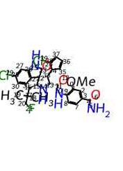 COc1cc(C(N)=O)ccc1NC(=O)[C@@H]1N[C@@H](CC(C)(C)CF)[C@@]2(C(=O)Nc3cc(Cl)ccc32)C1C1C=CC=C1Cl